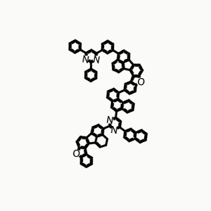 C1=C2c3c(ccc(-c4nc(-c5ccc6ccccc6c5)cc(-c5cc6cccc(-c7ccc8oc9ccc%10c(c9c8c7)-c7cccc8c(-c9cccc(-c%11cc(-c%12ccccc%12)nc(-c%12ccccc%12)n%11)c9)ccc-%10c78)c6c6ccccc56)n4)c3CC1)-c1ccc3oc4ccccc4c3c12